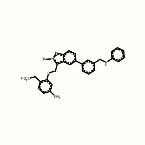 Cc1ccc(CC(=O)O)c(OCc2c3cc(-c4cccc(CNc5ccccc5)c4)ccc3nn2C(C)C)c1